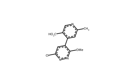 COc1nnc(Cl)cc1-c1cc(C)ncc1C(=O)O